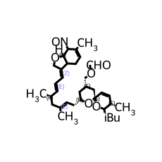 CCC(C)C1O[C@]2(C=C[C@@H]1C)C[C@@H](COC=O)C[C@@H](C/C=C(\C)C[C@@H](C)/C=C/C=C1\CO[C@@H]3C(N=O)C(C)=CCC13)O2